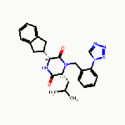 CC(C)C[C@@H]1C(=O)N[C@H](C2Cc3ccccc3C2)C(=O)N1Cc1ccccc1-n1cnnn1